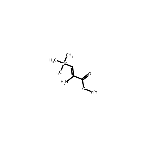 CCCOC(=O)C(N)=C[N+](C)(C)C